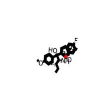 CC[C@H](C)[C@H](NS(=O)(=O)c1ccc(F)cc1)C(O)(c1ccc(OC)cc1)c1ccc(OC)cc1